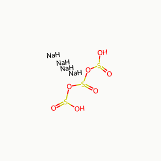 O=S(O)OS(=O)OS(=O)O.[NaH].[NaH].[NaH].[NaH]